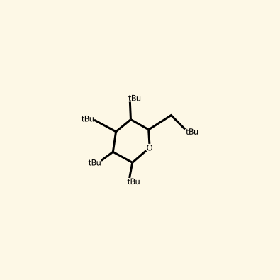 CC(C)(C)CC1OC(C(C)(C)C)C(C(C)(C)C)C(C(C)(C)C)C1C(C)(C)C